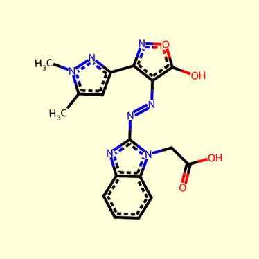 Cc1cc(-c2noc(O)c2N=Nc2nc3ccccc3n2CC(=O)O)nn1C